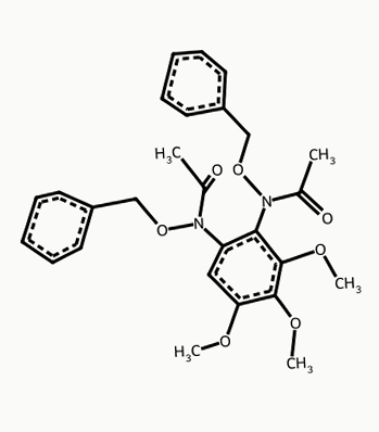 COc1cc(N(OCc2ccccc2)C(C)=O)c(N(OCc2ccccc2)C(C)=O)c(OC)c1OC